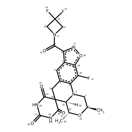 C[C@@H]1CN2c3c(cc4c(C(=O)N5CC(F)(F)C5)noc4c3F)CC3(C(=O)NC(=O)NC3=O)[C@@H]2[C@@H](C)O1